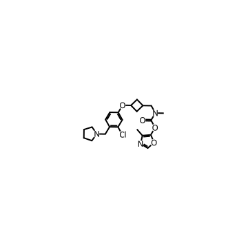 Cc1ncoc1OC(=O)N(C)CC1CC(Oc2ccc(CN3CCCC3)c(Cl)c2)C1